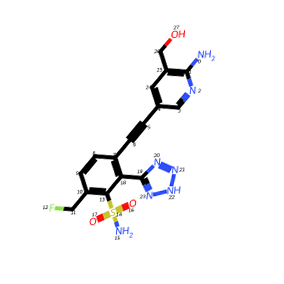 Nc1ncc(C#Cc2ccc(CF)c(S(N)(=O)=O)c2-c2nn[nH]n2)cc1CO